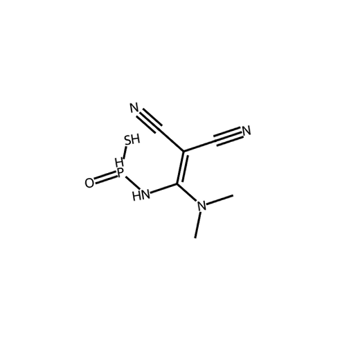 CN(C)C(N[PH](=O)S)=C(C#N)C#N